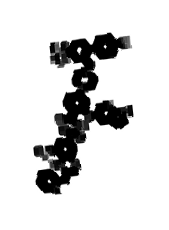 CC1(C)CCC(c2ccc(Cl)cc2)=C(CN2CCN(c3ccc(C(=O)NS(=O)(=O)c4cc5c(c([N+](=O)[O-])c4)NC(Cc4ccccn4)CO5)c(Oc4cnc5[nH]ccc5c4)c3)CC2)C1